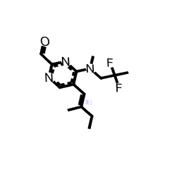 CC/C(C)=C/c1cnc(C=O)nc1N(C)CC(C)(F)F